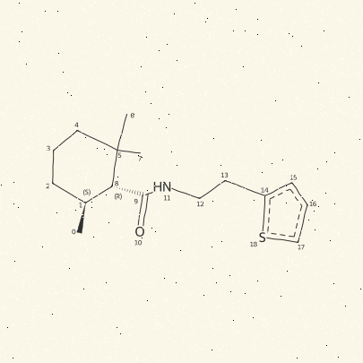 C[C@H]1CCCC(C)(C)[C@@H]1C(=O)NCCc1cccs1